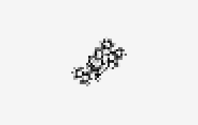 O=C1OC(c2c3ccccc3c(C(c3ccccc3)c3ccccc3)c3ccccc23)=C2C(=O)OC(c3cccc4ccccc34)=C12